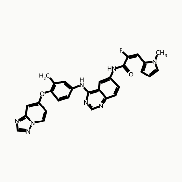 Cc1cc(Nc2ncnc3ccc(NC(=O)/C(F)=C\c4cccn4C)cc23)ccc1Oc1ccn2ncnc2c1